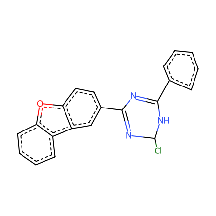 ClC1N=C(c2ccc3oc4ccccc4c3c2)N=C(c2ccccc2)N1